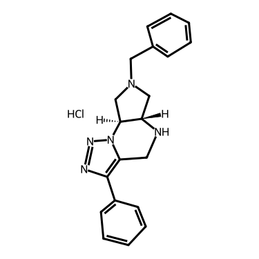 Cl.c1ccc(CN2C[C@@H]3NCc4c(-c5ccccc5)nnn4[C@H]3C2)cc1